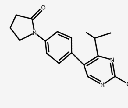 CC(C)c1nc(Cl)ncc1-c1ccc(N2CCCC2=O)cc1